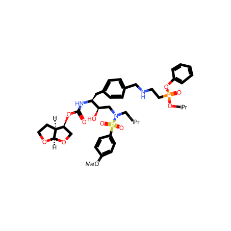 COc1ccc(S(=O)(=O)N(CC(C)C)C[C@@H](O)[C@H](Cc2ccc(CNCCP(=O)(Oc3ccccc3)OC(C)C)cc2)NC(=O)O[C@H]2CO[C@H]3OCC[C@H]32)cc1